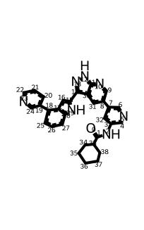 O=C(Nc1cncc(-c2cnc3[nH]nc(-c4cc5c(-c6cccnc6)cccc5[nH]4)c3c2)c1)C1CCCCC1